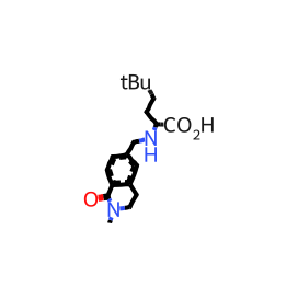 CN1CCc2cc(CNC(CCC(C)(C)C)C(=O)O)ccc2C1=O